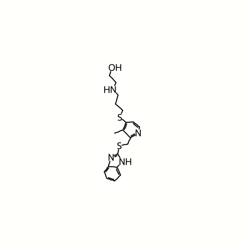 Cc1c(SCCCNCCO)ccnc1CSc1nc2ccccc2[nH]1